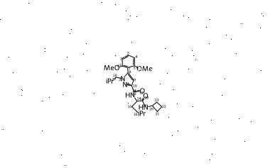 COc1cccc(OC)c1-c1cc(C(=O)NC(CC(C)C)C(=O)NC2CCC2)nn1CC(C)C